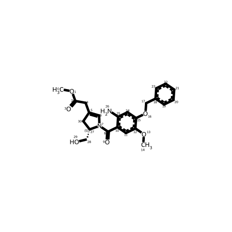 COC(=O)CC1=CN(C(=O)c2cc(OC)c(OCc3ccccc3)cc2N)[C@H](CO)C1